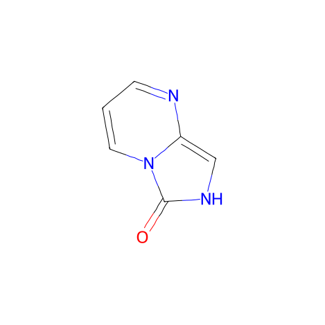 O=c1[nH]cc2ncccn12